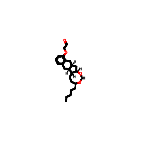 CCCCC[C@H]1CC[C@@H]2[C@H]3Cc4cccc(OCC=O)c4C[C@H]3C[C@H]2OBO1